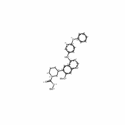 COc1cc2ncnc(Nc3ccc(Oc4ccccc4)nc3)c2cc1C1CCCN(C(=O)OC(C)(C)C)C1